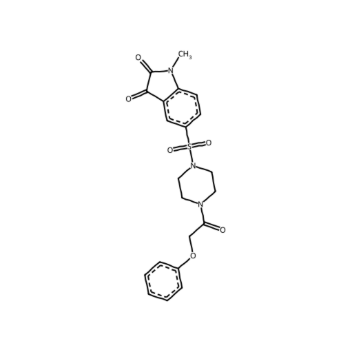 CN1C(=O)C(=O)c2cc(S(=O)(=O)N3CCN(C(=O)COc4ccccc4)CC3)ccc21